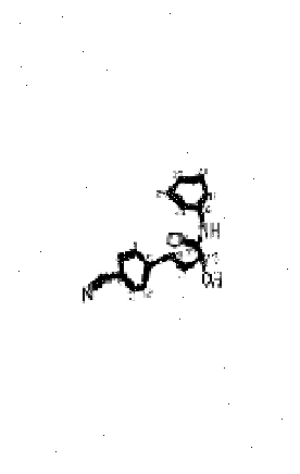 C[C@](O)(CCc1ccc(C#N)cc1)C(=O)Nc1ccccc1